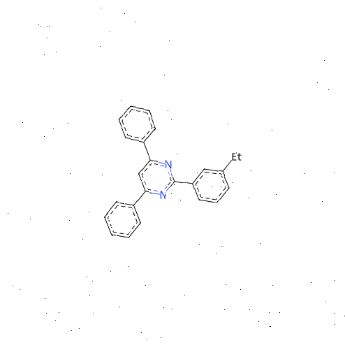 CCc1cccc(-c2nc(-c3ccccc3)cc(-c3ccccc3)n2)c1